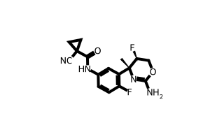 C[C@]1(c2cc(NC(=O)C3(C#N)CC3)ccc2F)N=C(N)OC[C@@H]1F